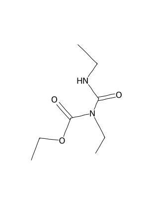 CCNC(=O)N(CC)C(=O)OCC